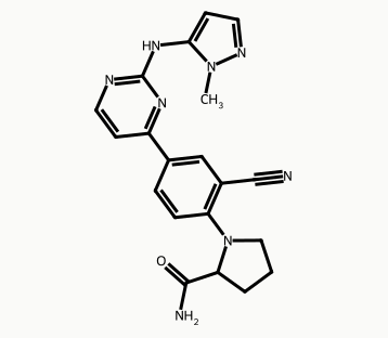 Cn1nccc1Nc1nccc(-c2ccc(N3CCCC3C(N)=O)c(C#N)c2)n1